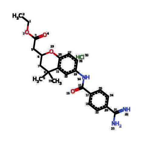 CCOC(=O)CC1CC(C)(C)c2cc(NC(=O)c3ccc(C(=N)N)cc3)ccc2O1.Cl